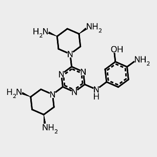 Nc1ccc(Nc2nc(N3C[C@H](N)C[C@H](N)C3)nc(N3C[C@H](N)C[C@H](N)C3)n2)cc1O